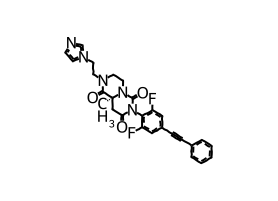 C[C@@]12CC(=O)N(c3c(F)cc(C#Cc4ccccc4)cc3F)C(=O)N1CCN(CCn1ccnc1)C2=O